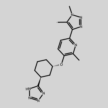 [CH2]c1c(-c2ccc(O[C@H]3CCC[C@H](c4nnn[nH]4)C3)c(C)n2)nnn1C